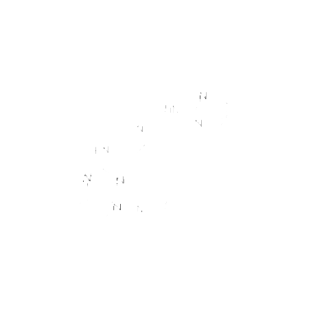 c1cnc(NCCN2CCC(Nc3nc4cccnc4n3Cc3cscn3)C2)nc1